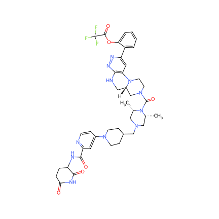 C[C@@H]1CN(CC2CCN(c3ccnc(C(=O)NC4CCC(=O)NC4=O)c3)CC2)C[C@H](C)N1C(=O)N1CCN2c3cc(-c4ccccc4OC(=O)C(F)(F)F)nnc3NC[C@H]2C1